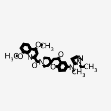 CCn1nccc1N(C)c1ccc2c(c1)C(=O)CC1(CCN(C(=O)c3cc(OC)c4cccc(OC)c4n3)CC1)O2